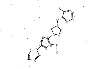 Cc1cccnc1O[C@H]1CCN(c2ccc(-c3ccccc3)cc2C=O)C1